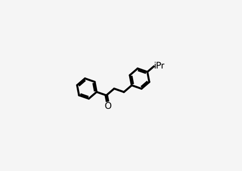 CC(C)c1ccc(CCC(=O)c2ccccc2)cc1